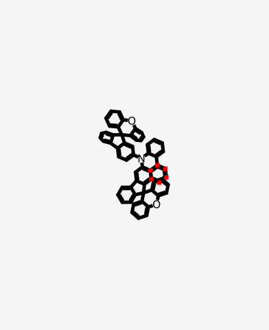 c1ccc(-c2ccccc2N(c2ccc3c(c2)C2(c4ccccc4Oc4ccccc42)c2ccccc2-3)c2cc3c(c4ccccc24)C2(c4ccccc4Oc4ccccc42)c2ccccc2-3)cc1